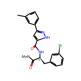 CNC(=O)[C@H](Cc1cccc(Br)c1)NC(=O)c1cc(-c2cccc(C)c2)n[nH]1